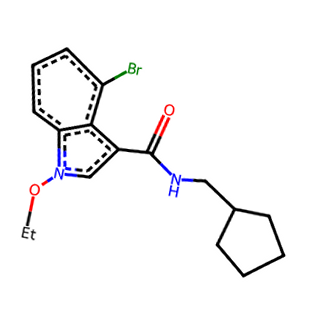 CCOn1cc(C(=O)NCC2CCCC2)c2c(Br)cccc21